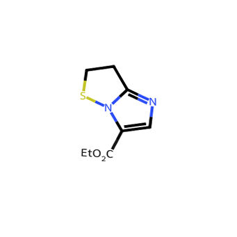 CCOC(=O)c1cnc2n1SCC2